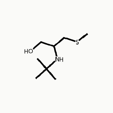 CSCC(CO)NC(C)(C)C